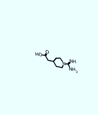 N=C(N)N1CCC(CC(=O)O)CC1